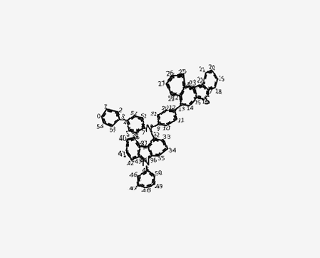 c1ccc(-c2ccc(N(c3ccc(-c4cc5sc6ccccc6c5c5ccccc45)cc3)c3cccc4c3c3ccccc3n4-c3ccccc3)cc2)cc1